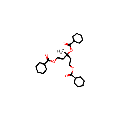 CC(CCOC(=O)C1CCCCC1)(CCOC(=O)C1CCCCC1)OC(=O)C1CCCCC1